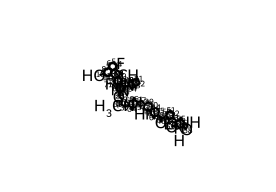 C#Cc1c(F)ccc2cc(O)cc(-c3ncc4c(N5CC6CCC(C5)N6)nc(OC[C@H](C)CN5CCN(CC6CCC7(CC6)CCC(C(=O)c6cccc(C8CNC(=O)NC8=O)c6CC)CN7)CC5)nc4c3F)c12